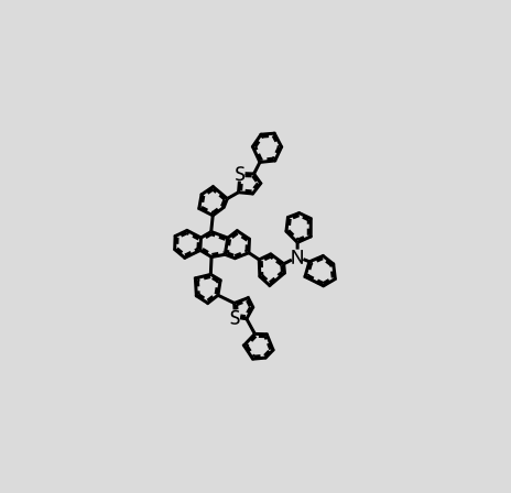 c1ccc(-c2ccc(-c3cccc(-c4c5ccccc5c(-c5cccc(-c6ccc(-c7ccccc7)s6)c5)c5cc(-c6cccc(N(c7ccccc7)c7ccccc7)c6)ccc45)c3)s2)cc1